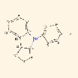 Cc1ccc(N2c3ccccc3C3CCCC32)cc1